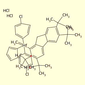 Cl.Cl.[CH2]=[Hf]([C]1=CC=CC1)([c]1ccc(Cl)cc1)([c]1ccc(Cl)cc1)[c]1c2c(cc(C(C)(C)C)c1C(C)(C)C)-c1cc(C(C)(C)C)c(C(C)(C)C)cc1C2